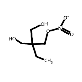 CCC(CO)(CO)CO[N+](=O)[O-]